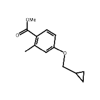 COC(=O)c1ccc(OCC2CC2)cc1C